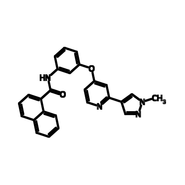 Cn1cc(-c2cc(Oc3cccc(NC(=O)c4cccc5ccccc45)c3)ccn2)cn1